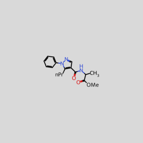 CCCc1c(C(=O)NC(C)C(=O)OC)cnn1-c1ccccc1